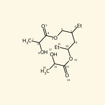 CCC(COC(=O)C(C)O)CC(CC)OC(=O)C(C)O